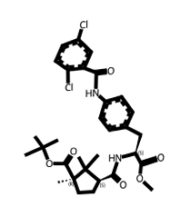 COC(=O)[C@H](Cc1ccc(NC(=O)c2cc(Cl)ccc2Cl)cc1)NC(=O)[C@H]1CC[C@@](C)(C(=O)OC(C)(C)C)C1(C)C